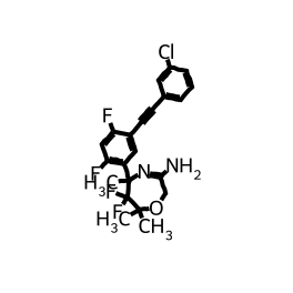 CC1(C)OCC(N)=NC(C)(c2cc(C#Cc3cccc(Cl)c3)c(F)cc2F)C1(F)F